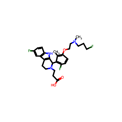 Cc1c(OCCN(C)CCCF)ccc(F)c1C1c2[nH]c3ccc(F)cc3c2CCN1CCC(=O)O